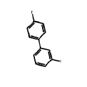 Fc1ccc(-c2cccc(F)c2)cc1